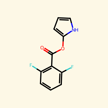 O=C(Oc1ccc[nH]1)c1c(F)cccc1F